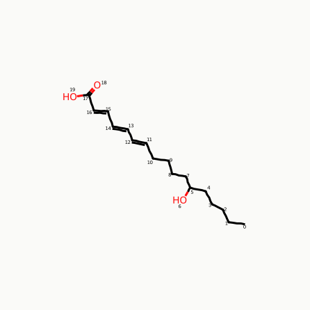 CCCCCC(O)CCCCC=CC=CC=CC(=O)O